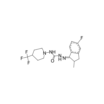 CC1Cc2cc(F)ccc2C1=NNC(=O)NN1CCC(C(F)(F)F)CC1